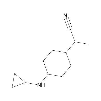 CC(C#N)C1CCC(NC2CC2)CC1